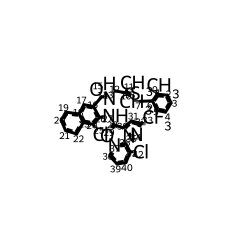 Cc1ccccc1CSC(C)(C)CNC(=O)c1cc2ccccc2c(Cl)c1NC(=O)c1cc(C(F)(F)F)nn1-c1ncccc1Cl